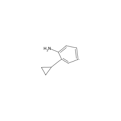 Nc1cc[c]cc1C1CC1